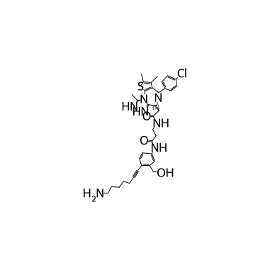 CC(=N)N1C(=N)[C@H](CC(=O)NCCC(=O)Nc2ccc(C#CCCCCCN)c(CO)c2)N=C(c2ccc(Cl)cc2)c2c1sc(C)c2C